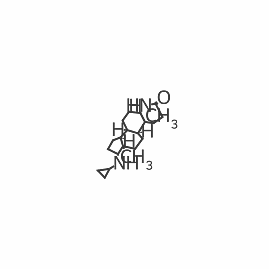 C[C@]12CCC(=O)N[C@@H]1CC[C@@H]1[C@@H]2CC[C@]2(C)[C@@H](NC3CC3)CC[C@@H]12